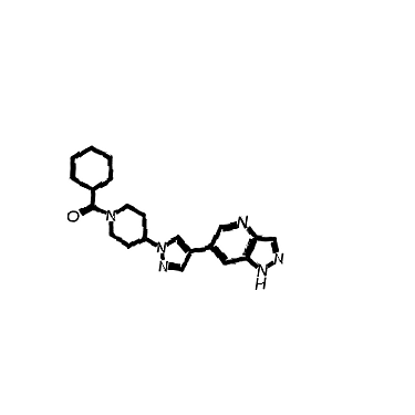 O=C(C1CCCCC1)N1CCC(n2cc(-c3cnc4cn[nH]c4c3)cn2)CC1